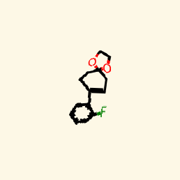 Fc1ccccc1C1=CCC2(CC1)OCCO2